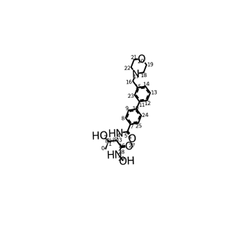 C[C@@H](O)[C@H](NC(=O)c1ccc(-c2cccc(CN3CCOCC3)c2)cc1)C(=O)NO